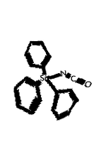 O=C=N[Si](c1ccccc1)(c1ccccc1)c1ccccc1